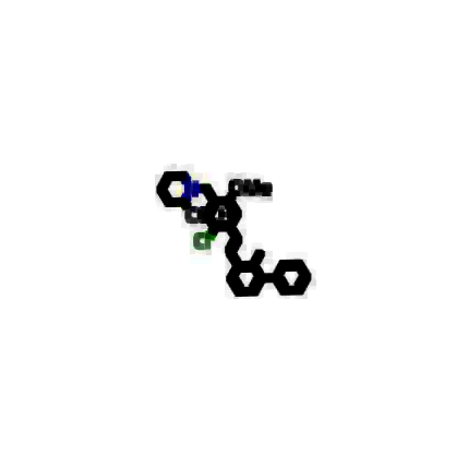 COc1cc(C=Cc2cccc(-c3ccccc3)c2C)c(Cl)cc1CN1CCCCC1C(=O)O